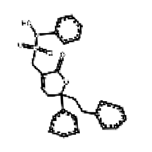 O=C1OC(CCc2ccccc2)(c2ccccc2)CC=C1CS(=O)(=O)N(O)c1ccccc1